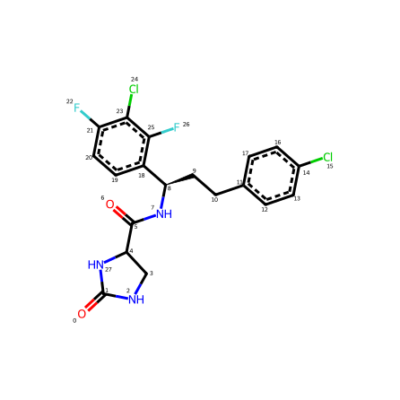 O=C1NCC(C(=O)N[C@H](CCc2ccc(Cl)cc2)c2ccc(F)c(Cl)c2F)N1